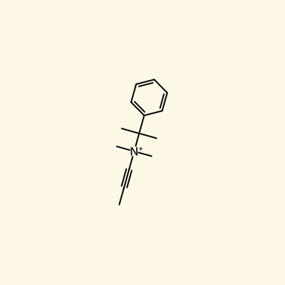 CC#C[N+](C)(C)C(C)(C)c1ccccc1